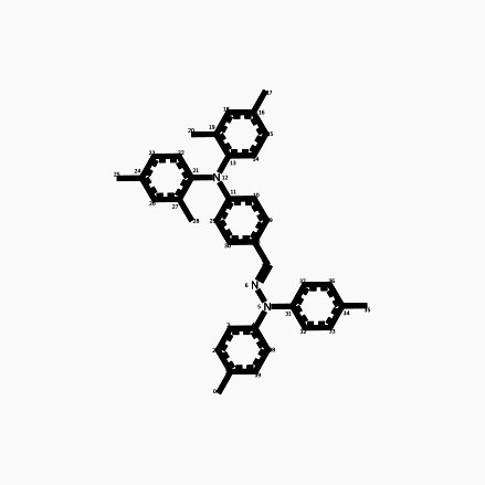 Cc1ccc(N(/N=C/c2ccc(N(c3ccc(C)cc3C)c3ccc(C)cc3C)cc2)c2ccc(C)cc2)cc1